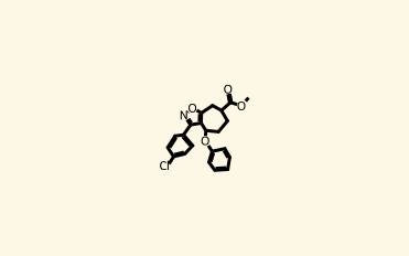 COC(=O)C1CCC(Oc2ccccc2)c2c(-c3ccc(Cl)cc3)noc2C1